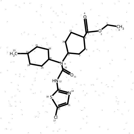 CCOC(=O)C1CCC(N(C(=O)Nc2ncc(Cl)s2)C2CCC(C)CC2)CC1